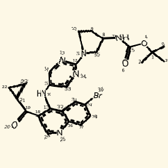 CC(C)(C)OC(=O)NC1CCN(c2ncc(Nc3c(C(=O)C4CC4)cnc4ccc(Br)cc34)cn2)C1